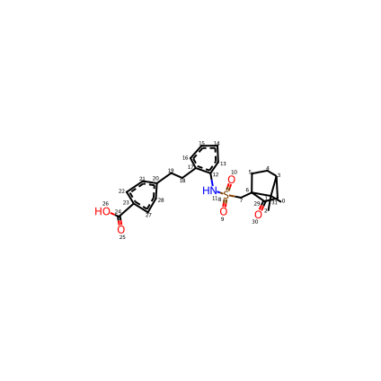 CC1(C)C2CCC1(CS(=O)(=O)Nc1ccccc1CCc1ccc(C(=O)O)cc1)C(=O)C2